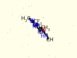 C#CCNCCCNC(=O)c1c(C)cc(Cc2nccn3c(-c4cn(CC=C)nc4C(F)(F)F)cnc23)cc1C